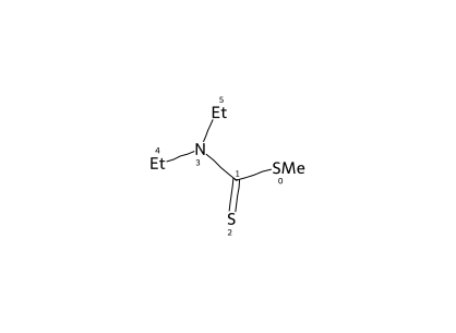 [CH2]SC(=S)N(CC)CC